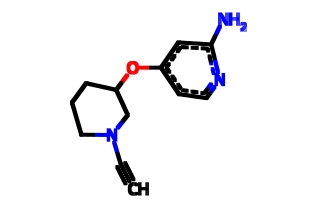 C#CN1CCCC(Oc2ccnc(N)c2)C1